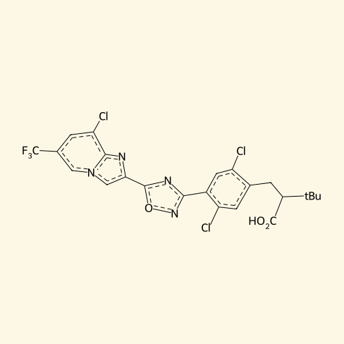 CC(C)(C)C(Cc1cc(Cl)c(-c2noc(-c3cn4cc(C(F)(F)F)cc(Cl)c4n3)n2)cc1Cl)C(=O)O